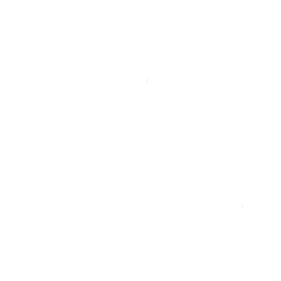 C=C(C)C(=O)OCCC(CCOC(=O)C(=C)CO)CC1CCC(C2CCC(c3ccc(CCC)cc3)CC2)CC1